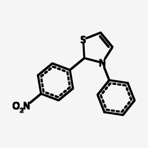 O=[N+]([O-])c1ccc(C2SC=CN2c2ccccc2)cc1